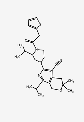 CC(C)c1nc(N2CCN(C(=O)Cc3cccs3)C(C(C)C)C2)c(C#N)c2c1COC(C)(C)C2